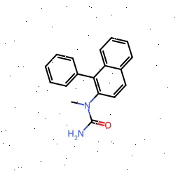 CN(C(N)=O)c1ccc2ccccc2c1-c1ccccc1